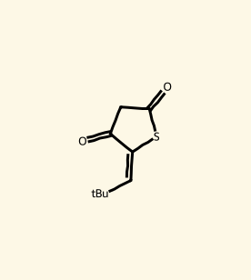 CC(C)(C)/C=C1/SC(=O)CC1=O